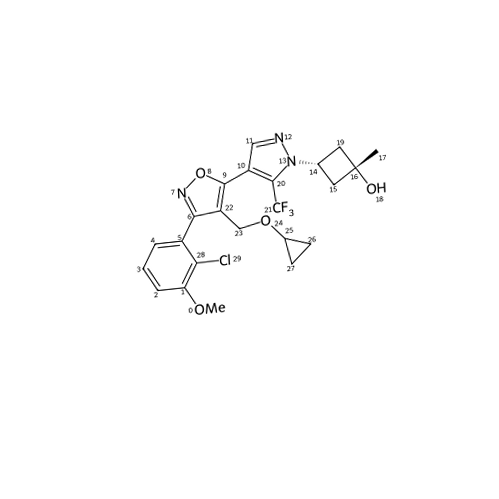 COc1cccc(-c2noc(-c3cnn([C@H]4C[C@@](C)(O)C4)c3C(F)(F)F)c2COC2CC2)c1Cl